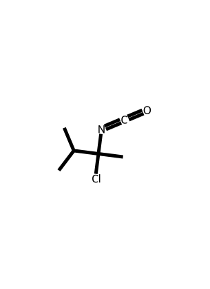 CC(C)C(C)(Cl)N=C=O